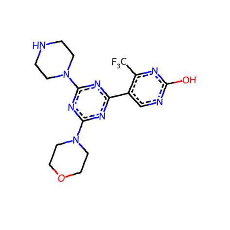 Oc1ncc(-c2nc(N3CCNCC3)nc(N3CCOCC3)n2)c(C(F)(F)F)n1